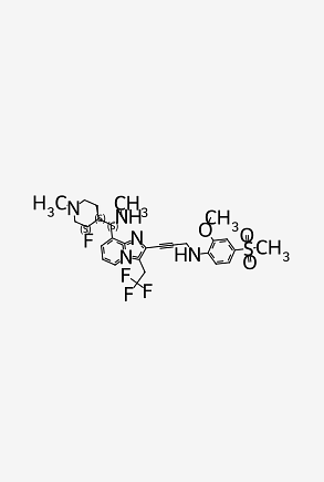 CN[C@H](c1cccn2c(CC(F)(F)F)c(C#CCNc3ccc(S(C)(=O)=O)cc3OC)nc12)[C@@H]1CCN(C)C[C@H]1F